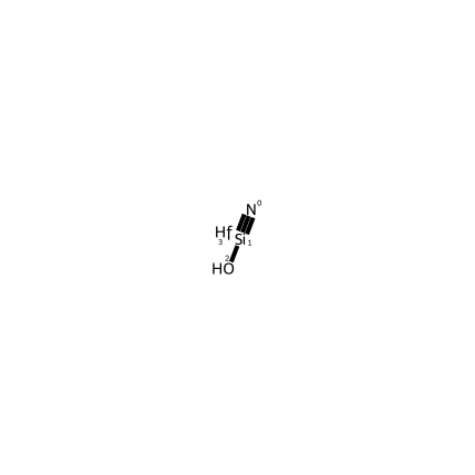 N#[Si]O.[Hf]